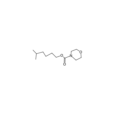 CC(C)CCCCOC(=O)N1CCOCC1